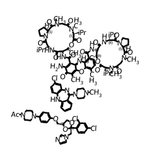 CC(=O)N1CCN(c2ccc(OC[C@H]3CO[C@](Cn4ccnc4)(c4ccc(Cl)cc4Cl)O3)cc2)CC1.CN1CCN(C2=Nc3cc(Cl)ccc3Nc3ccccc32)CC1.Cc1c2oc3c(C)ccc(C(=O)N[C@@H]4C(=O)N[C@H](C(C)C)C(=O)N5CCC[C@H]5C(=O)N(C)CC(=O)N(C)[C@@H](C(C)C)C(=O)O[C@@H]4C)c3nc-2c(C(=O)N[C@@H]2C(=O)N[C@H](C(C)C)C(=O)N3CCC[C@H]3C(=O)N(C)CC(=O)N(C)[C@@H](C(C)C)C(=O)O[C@@H]2C)c(N)c1=O